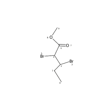 CCC(Br)C(Br)C(=O)OC